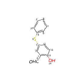 O=Cc1cc(Sc2ccccc2)ccc1O